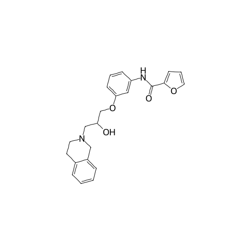 O=C(Nc1cccc(OCC(O)CN2CCc3ccccc3C2)c1)c1ccco1